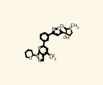 CN1CC[C@@](O)(c2cc(-c3cccc(-c4cc(C(F)(F)F)c5cnn(C6CCCCO6)c5n4)c3)no2)C1=O